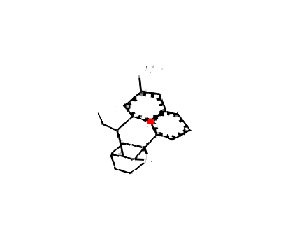 COc1cccc(C(CO)C2C3CCN(CC3)C2c2ccccc2)c1